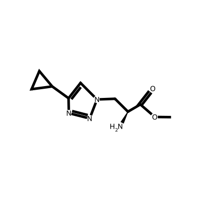 COC(=O)[C@@H](N)Cn1cc(C2CC2)nn1